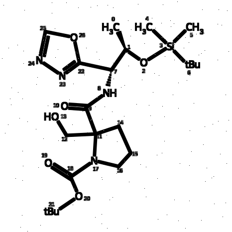 C[C@@H](O[Si](C)(C)C(C)(C)C)[C@H](NC(=O)C1(CO)CCCN1C(=O)OC(C)(C)C)c1nnco1